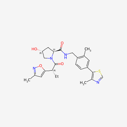 CC[C@@H](C(=O)N1C[C@H](O)C[C@H]1C(=O)NCc1ccc(-c2scnc2C)cc1C)c1cc(C)no1